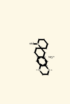 CCCN1CCCCC12CCc1cc3c(cc1C2)OCCO3.Cl